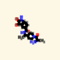 CC(N)C(=O)N1CCC(C(C)NC(=O)c2ccc3c(c2)C(=O)C(=O)N3)CC1